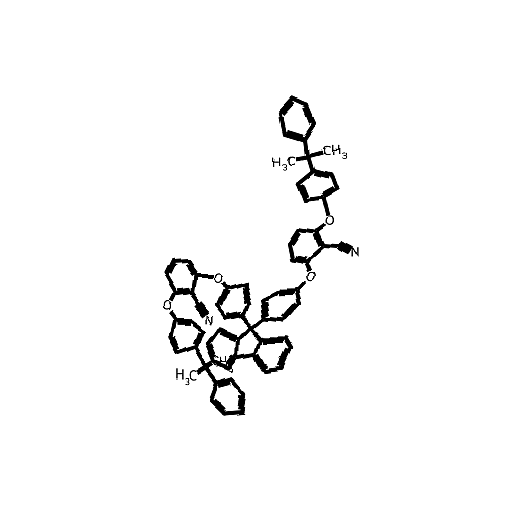 CC(C)(c1ccccc1)c1ccc(Oc2cccc(Oc3ccc(C4(c5ccc(Oc6cccc(Oc7ccc(C(C)(C)c8ccccc8)cc7)c6C#N)cc5)c5ccccc5-c5ccccc54)cc3)c2C#N)cc1